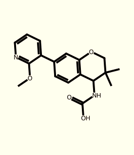 COc1ncccc1-c1ccc2c(c1)OCC(C)(C)C2NC(=O)O